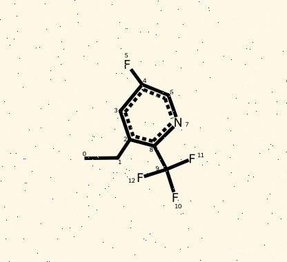 CCc1cc(F)cnc1C(F)(F)F